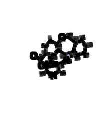 COC(=O)c1ccc2c(c1)/C(=N\c1cccnc1)c1ccccc1CO2